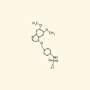 COc1cc2nccc(OCc3ccc(NS(=O)(=O)C4CC4)cc3)c2cc1OC